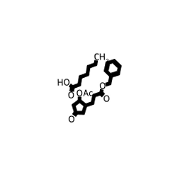 CC(=O)OC1CC(=O)CC1CCC(=O)OCc1ccccc1.CCCCCCC(=O)O